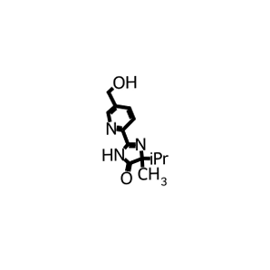 CC(C)C1(C)N=C(c2ccc(CO)cn2)NC1=O